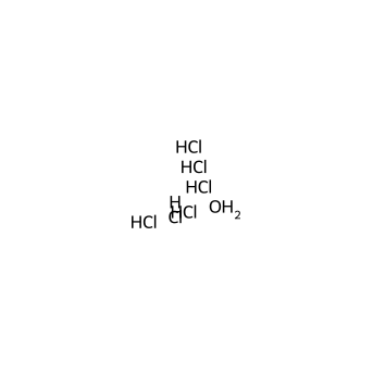 Cl.Cl.Cl.Cl.Cl.Cl.O